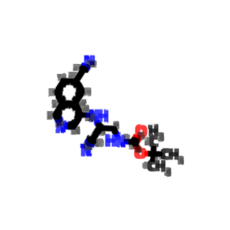 CC(C)(C)OC(=O)NCC(C#N)Nc1cncc2ccc(C#N)cc12